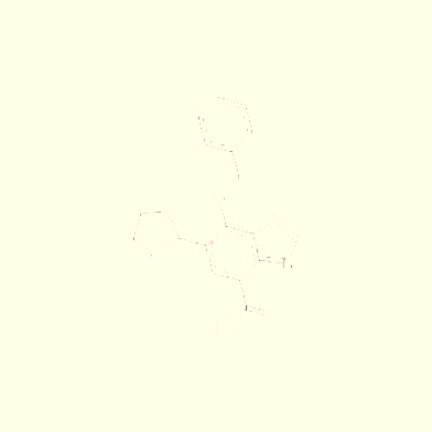 O=C(O)c1cc(C2OCCO2)c(OCc2ccccc2)c2scnc12